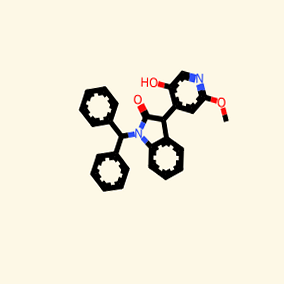 COc1cc(C2C(=O)N(C(c3ccccc3)c3ccccc3)c3ccccc32)c(O)cn1